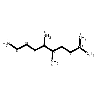 CN(C)CCC(N)C(N)CCCN